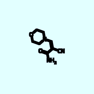 N#CC(=CN1CCOCC1)C(N)=O